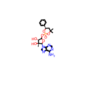 CC1(C)C[C@H](c2ccccc2)O[P@](=O)(OC2O[C@@H](n3cnc4c(N)ncnc43)[C@](C)(O)[C@@H]2O)O1